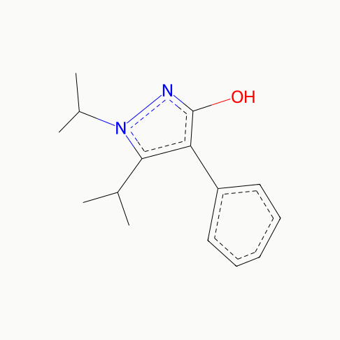 CC(C)c1c(-c2ccccc2)c(O)nn1C(C)C